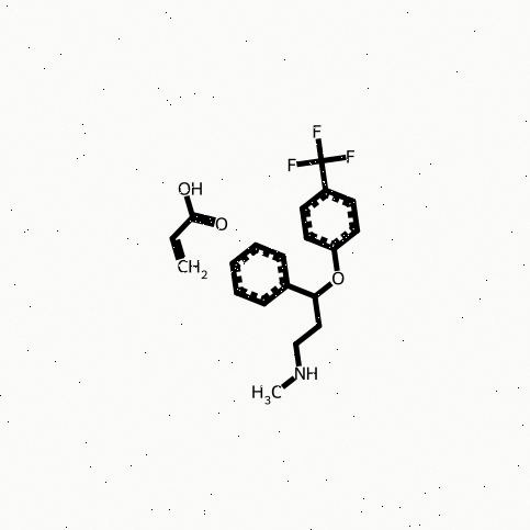 C=CC(=O)O.CNCCC(Oc1ccc(C(F)(F)F)cc1)c1ccccc1